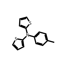 Cc1ccc(N(c2cccs2)c2cccs2)cc1